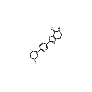 O=C1NCCc2nc(-c3ccc(N4CCC[C@H](F)C4)nc3)sc21